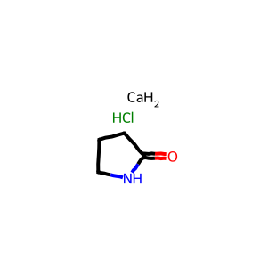 Cl.O=C1CCCN1.[CaH2]